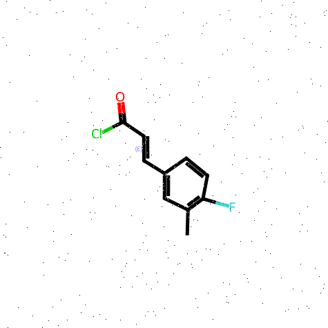 Cc1cc(/C=C/C(=O)Cl)ccc1F